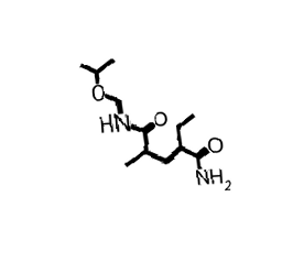 CCC(CC(C)C(=O)NCOC(C)C)C(N)=O